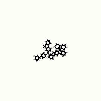 CC1(C)c2ccccc2-c2ccc(N(c3ccc(-c4ccccc4)cc3)c3cccc4c3oc3cc5c(cc34)-c3ccccc3C5(c3ccccc3)c3ccccc3)cc21